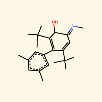 CN=C1C=C(C(C)(C)C)C(c2cc(C)cc(C)c2)=C(C(C)(C)C)C1O